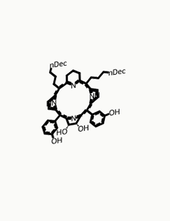 CCCCCCCCCCCCCc1c2nc(c(CCCCCCCCCCCCC)c3ccc([nH]3)c(-c3cccc(O)c3)c3nc(c(-c4cccc(O)c4)c4ccc1[nH]4)[C@@H](O)[C@H]3O)CCC2